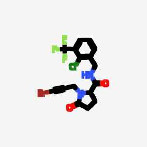 O=C(NCc1cccc(C(F)(F)F)c1Cl)C1CCC(=O)N1CC#CBr